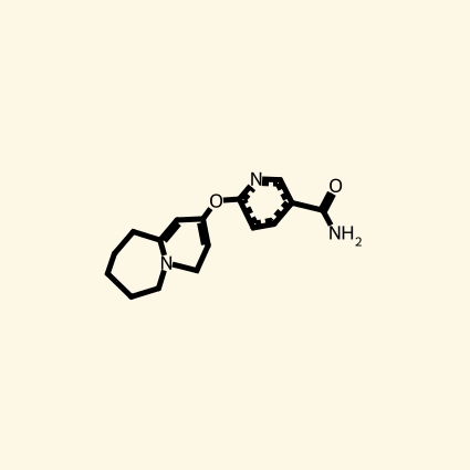 NC(=O)c1ccc(OC2=CCN3CCCCCC3=C2)nc1